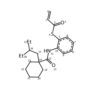 C=CC(=O)Sc1ccccc1NC(=O)C1(CC(CC)CC)CCCCC1